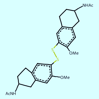 COc1cc2c(cc1SSc1cc3c(cc1OC)CC(NC(C)=O)CC3)CCC(NC(C)=O)C2